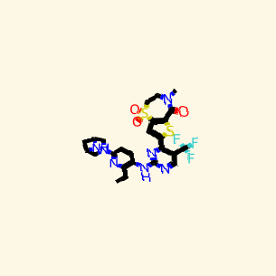 CCc1nc(N2CC3CC(C2)N3)ccc1Nc1ncc(C(F)(F)F)c(-c2cc3c(s2)C(=O)N(C)CCS3(=O)=O)n1